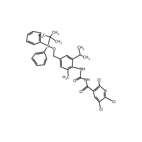 Cc1cc(CO[Si](c2ccccc2)(c2ccccc2)C(C)(C)C)cc(C(C)C)c1NC(=O)NC(=O)c1cc(Cl)c(Cl)nc1Cl